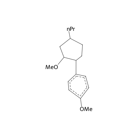 CCCC1CCC(c2ccc(OC)cc2)C(OC)C1